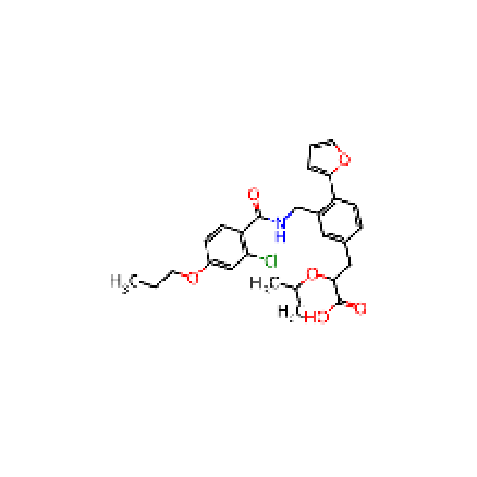 CCCOc1ccc(C(=O)NCc2cc(CC(OC(C)C)C(=O)O)ccc2-c2ccco2)c(Cl)c1